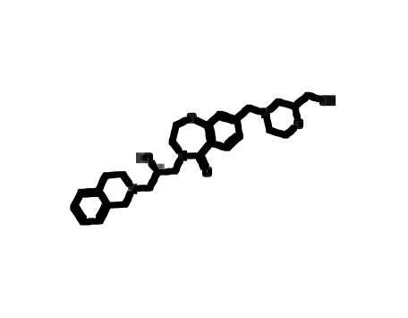 O=C1c2ccc(CN3CCOC(CO)C3)cc2OCCN1C[C@H](O)CN1CCc2ccccc2C1